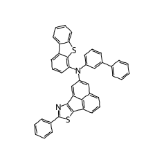 c1ccc(-c2cccc(N(c3cc4c5c(cccc5c3)-c3sc(-c5ccccc5)nc3-4)c3cccc4c3sc3ccccc34)c2)cc1